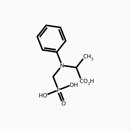 CC(C(=O)O)N(CP(=O)(O)O)c1ccccc1